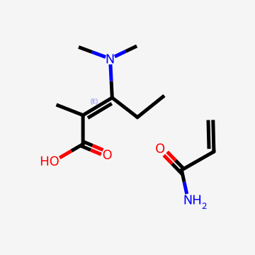 C=CC(N)=O.CC/C(=C(/C)C(=O)O)N(C)C